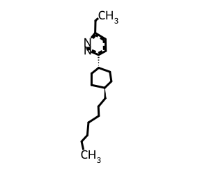 CCCCCCC[C@H]1CC[C@H](c2ccc(CC)nn2)CC1